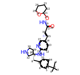 CC(C)(C)c1ccc(C[C@@]2(Nc3ccc(/C=C/C(=O)NOC4CCCCO4)cn3)CCNC2)cc1